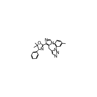 Cc1ccc2c(c1)-n1nncc1Cc1c(C3=N[C@@H](c4ccccc4)C(C)(C)O3)ncn1-2